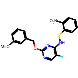 COc1cccc(COc2ncc(F)c(NSc3ccccc3[N+](=O)[O-])n2)c1